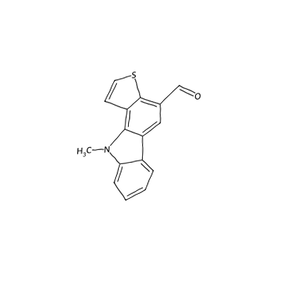 Cn1c2ccccc2c2cc(C=O)c3sccc3c21